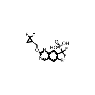 O=P(O)(O)C(F)(F)c1cc2nc(OC[C@H]3CC3(F)F)ncc2cc1Br